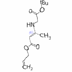 C=CCOC(=O)/C=C(\C)NCC(=O)OC(C)(C)C